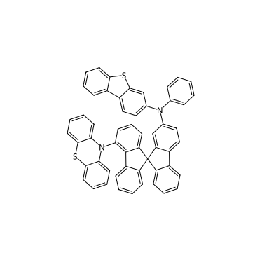 c1ccc(N(c2ccc3c(c2)C2(c4ccccc4-3)c3ccccc3-c3c(N4c5ccccc5Sc5ccccc54)cccc32)c2ccc3c(c2)sc2ccccc23)cc1